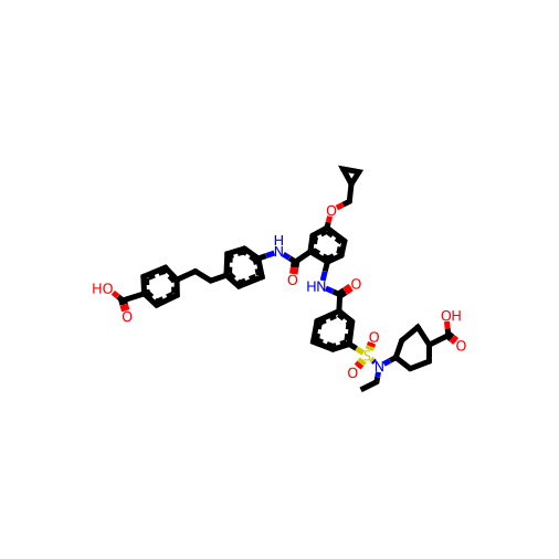 CCN(C1CCC(C(=O)O)CC1)S(=O)(=O)c1cccc(C(=O)Nc2ccc(OCC3CC3)cc2C(=O)Nc2ccc(CCc3ccc(C(=O)O)cc3)cc2)c1